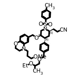 CCOC(C)COCc1ccc([C@H]2C[C@H](CCC#N)N(S(=O)(=O)c3ccc(C)cc3)C[C@@H]2OCc2ccc3c(c2)N(CCCOC)CCO3)cc1